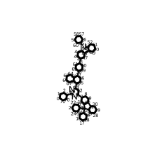 c1ccc(-c2nc(-c3ccc4c(c3)C(c3ccccc3)(c3ccccc3)c3ccccc3-4)cc(-c3ccc(-c4ccc(-c5ccc6c(c5)c5ccccc5n6-c5ccccc5)cc4)c4ccccc34)n2)cc1